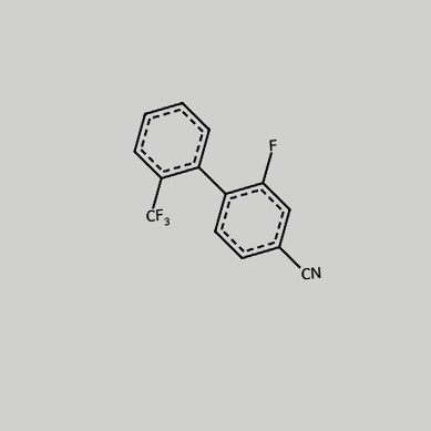 N#Cc1ccc(-c2ccccc2C(F)(F)F)c(F)c1